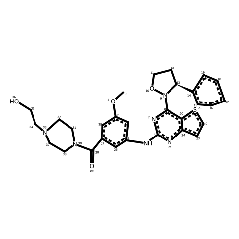 COc1cc(Nc2nc(N3OCC[C@H]3c3ccccc3)c3sccc3n2)cc(C(=O)N2CCN(CCO)CC2)c1